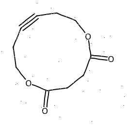 O=C1CCC(=O)OCCC#CCCO1